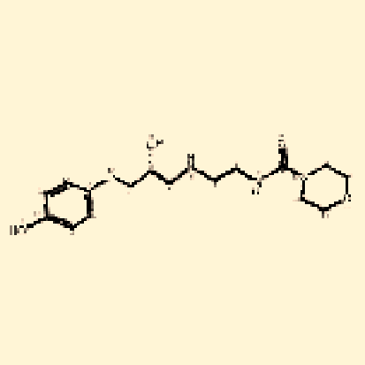 O=C(NCCNC[C@@H](O)COc1ccc(O)cc1)N1CCOCC1